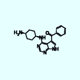 N[C@H]1CC[C@@H](Nc2ncnc3[nH]cc(C(=O)c4ccccc4)c23)CC1